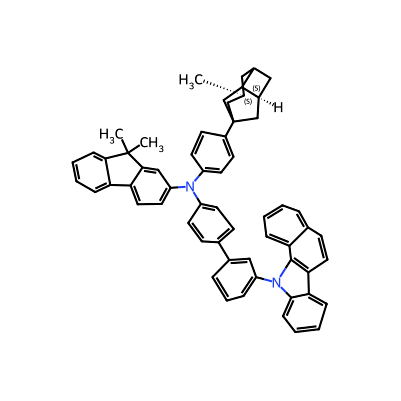 C[C@H]1CC2C[C@H]3CC(c4ccc(N(c5ccc(-c6cccc(-n7c8ccccc8c8ccc9ccccc9c87)c6)cc5)c5ccc6c(c5)C(C)(C)c5ccccc5-6)cc4)(CC23)C1